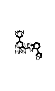 c1cc(-c2ccoc2)c2nc(-c3n[nH]c4ncc(-c5cncnc5)cc34)[nH]c2c1